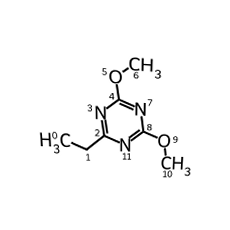 CCc1nc(OC)nc(OC)n1